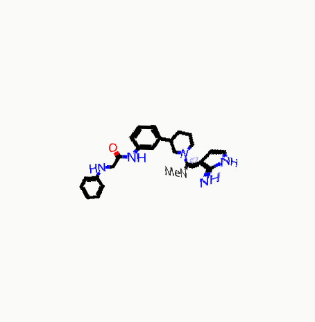 CN/C(=C1/C=CNC1=N)N1CCCC(c2cccc(NC(=O)CNc3ccccc3)c2)C1